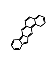 C1=CCc2c(ccc3cc4c(cc23)C=c2ccccc2=4)=C1